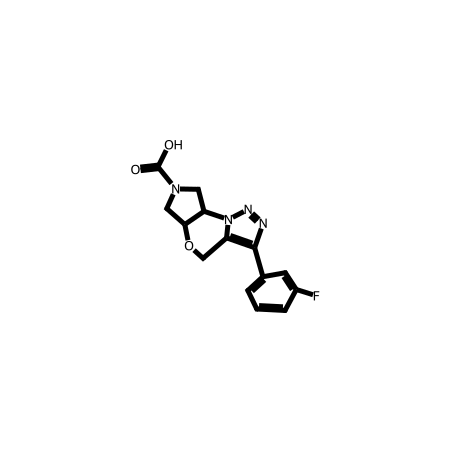 O=C(O)N1CC2OCc3c(-c4cccc(F)c4)nnn3C2C1